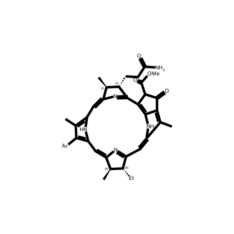 CC[C@H]1c2cc3[nH]c4c(c3C)C(=O)C(C(=O)OC)c4c3nc(cc4[nH]c(cc(n2)[C@@H]1C)c(C(C)=O)c4C)[C@@H](C)[C@@H]3CCC(N)=O